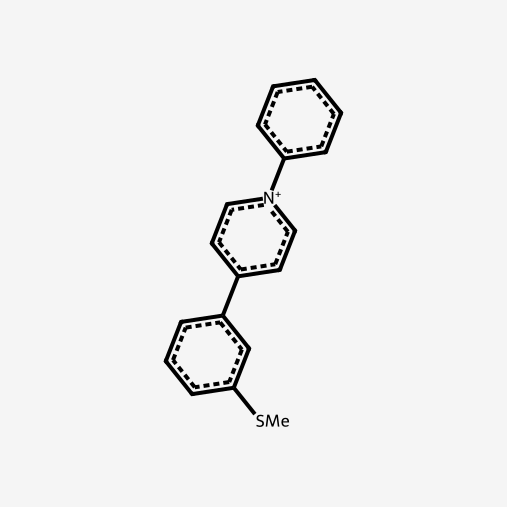 CSc1cccc(-c2cc[n+](-c3ccccc3)cc2)c1